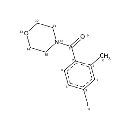 Cc1cc(I)ccc1C(=O)N1CCOCC1